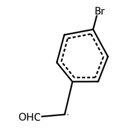 O=C[CH]c1ccc(Br)cc1